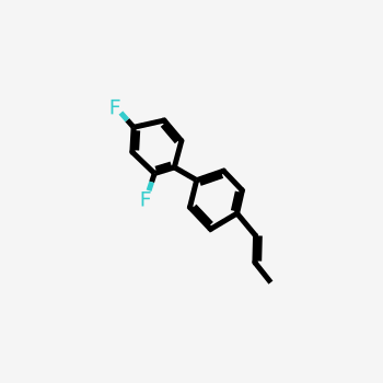 CC=Cc1ccc(-c2ccc(F)cc2F)cc1